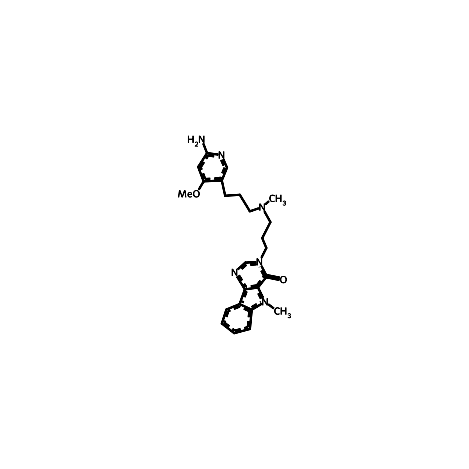 COc1cc(N)ncc1CCCN(C)CCCn1cnc2c3ccccc3n(C)c2c1=O